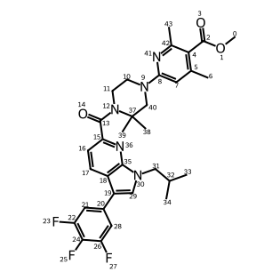 COC(=O)c1c(C)cc(N2CCN(C(=O)c3ccc4c(-c5cc(F)c(F)c(F)c5)cn(CC(C)C)c4n3)C(C)(C)C2)nc1C